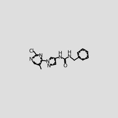 Cc1cnc(Cl)nc1-n1cc(NC(=O)NCc2ccccc2)cn1